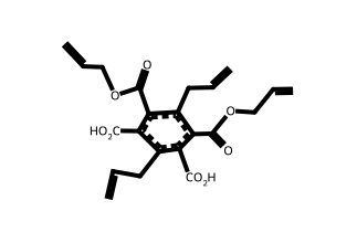 C=CCOC(=O)c1c(CC=C)c(C(=O)OCC=C)c(C(=O)O)c(CC=C)c1C(=O)O